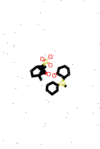 CC12CCC(C(S(=O)(=O)[O-])C1=O)C2(C)C.C[S+](C1CCCCC1)C1CCCCC1=O